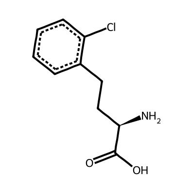 N[C@H](CCc1ccccc1Cl)C(=O)O